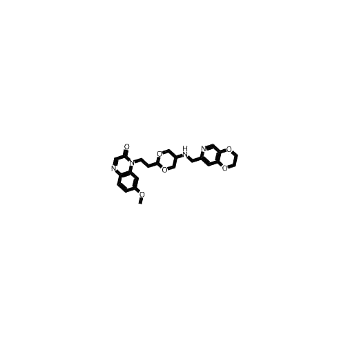 COc1ccc2ncc(=O)n(CCC3OCC(NCc4cc5c(cn4)OCCO5)CO3)c2c1